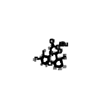 Cc1c(F)cccc1N(CC(=O)OC(C)(C)C)C(=O)c1c(F)cccc1Cl